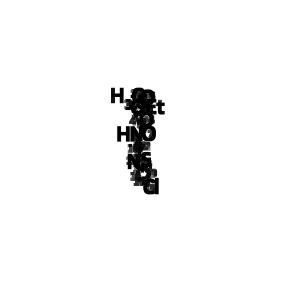 CCC(c1ccc(C(=O)NC23CC(c4nc5ccc(Cl)cc5s4)(C2)C3)o1)S(C)(=O)=O